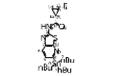 CCC[CH2][Sn]([CH2]CCC)([CH2]CCC)[c]1ccc2nc(NC(=O)[C@@H]3C[C@@H]3F)sc2n1